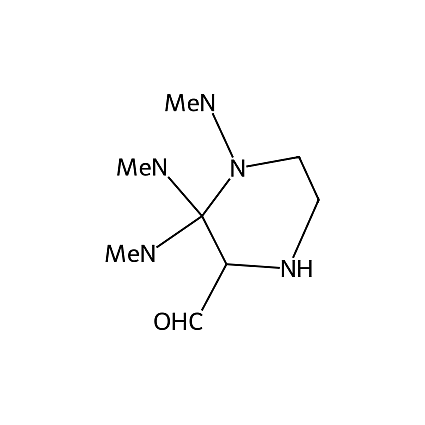 CNN1CCNC(C=O)C1(NC)NC